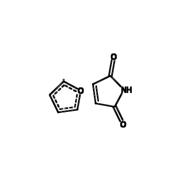 O=C1C=CC(=O)N1.[c]1ccco1